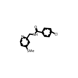 CSc1ccnc(CNC(=O)c2ccc(Cl)cc2)c1